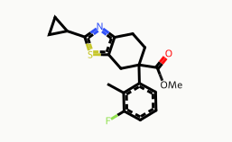 COC(=O)C1(c2cccc(F)c2C)CCc2nc(C3CC3)sc2C1